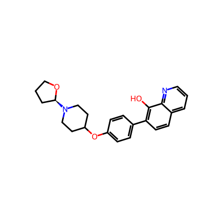 Oc1c(-c2ccc(OC3CCN([C@H]4CCCO4)CC3)cc2)ccc2cccnc12